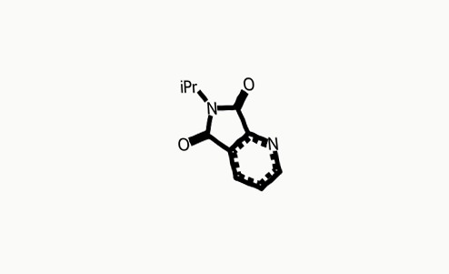 CC(C)N1C(=O)c2cccnc2C1=O